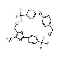 Cc1nc(-c2ccc(C(F)(F)F)cc2)sc1CCl.FC(F)(F)c1ccc(Oc2ccc(CCl)cc2)cc1